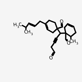 CC(C)C=CCC1=CCC(C=O)(C(C#CCC=O)C2(C=O)CC=CCC2C)CC1